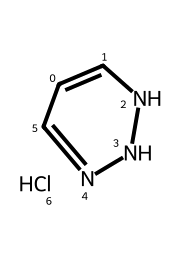 C1=CNNN=C1.Cl